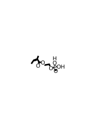 CC=C(C)C(=O)OCCOP(=O)(O)O